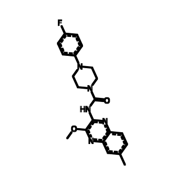 COc1nc2cc(C)ccc2nc1NC(=O)N1CCN(c2ccc(F)cc2)CC1